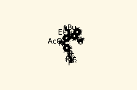 CCCCC(CC)Cn1c2ccc(/C(=N\OC(C)=O)c3ccc(OCC(F)(F)C(F)F)cc3)cc2c2cc(N3CO3)c3ccccc3c21